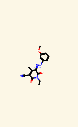 CCN1C(=O)C(C#N)=C(C)/C(=N/Nc2cccc(OC)c2)C1=O